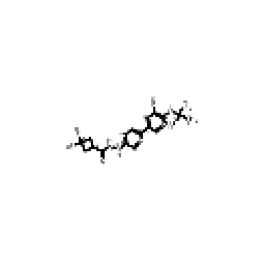 CC(C)(Oc1ncc(-c2cnc(NNC(=O)C3CC(F)(F)C3)cn2)cc1F)C(F)(F)F